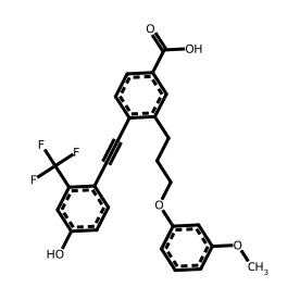 COc1cccc(OCCCc2cc(C(=O)O)ccc2C#Cc2ccc(O)cc2C(F)(F)F)c1